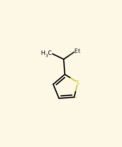 CCC(C)c1cc[c]s1